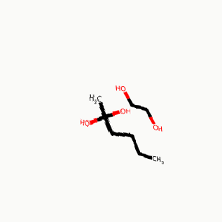 CCCCC(C)(O)O.OCCO